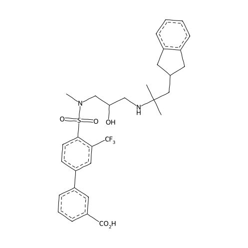 CN(CC(O)CNC(C)(C)CC1Cc2ccccc2C1)S(=O)(=O)c1ccc(-c2cccc(C(=O)O)c2)cc1C(F)(F)F